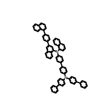 c1ccc(-c2ccc(N(c3ccc(-c4ccccc4)cc3)c3ccc(-c4ccc(N(c5cccc6ccccc56)c5cc(-c6ccc(-c7cccc8ccccc78)cc6)cc6ccccc56)cc4)cc3)cc2)cc1